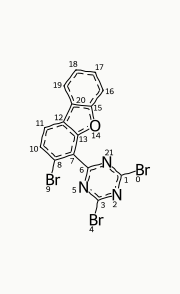 Brc1nc(Br)nc(-c2c(Br)ccc3c2oc2ccccc23)n1